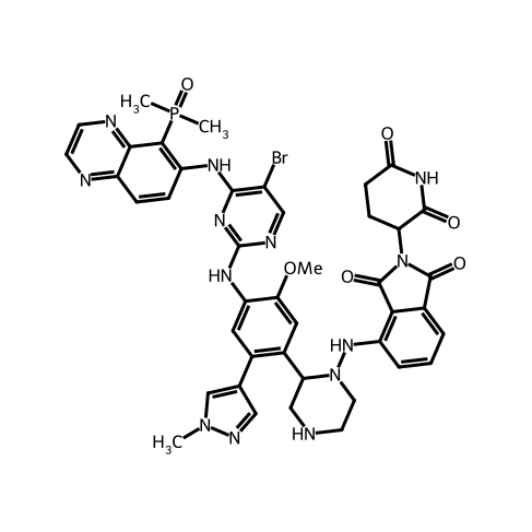 COc1cc(C2CNCCN2Nc2cccc3c2C(=O)N(C2CCC(=O)NC2=O)C3=O)c(-c2cnn(C)c2)cc1Nc1ncc(Br)c(Nc2ccc3nccnc3c2P(C)(C)=O)n1